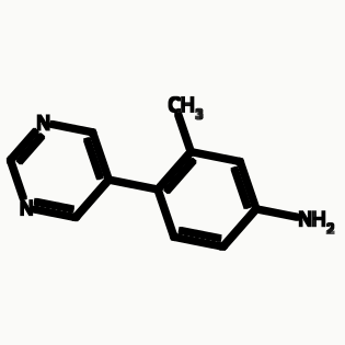 Cc1cc(N)ccc1-c1cncnc1